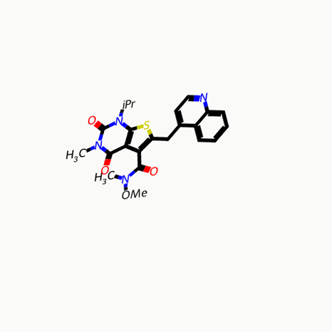 CON(C)C(=O)c1c(Cc2ccnc3ccccc23)sc2c1c(=O)n(C)c(=O)n2C(C)C